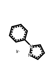 [Ir].c1ccc(-n2cccn2)cc1